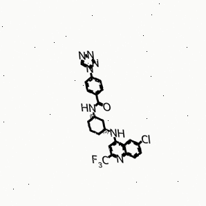 O=C(N[C@@H]1CCC[C@H](Nc2cc(C(F)(F)F)nc3ccc(Cl)cc23)C1)c1ccc(-n2cnnn2)cc1